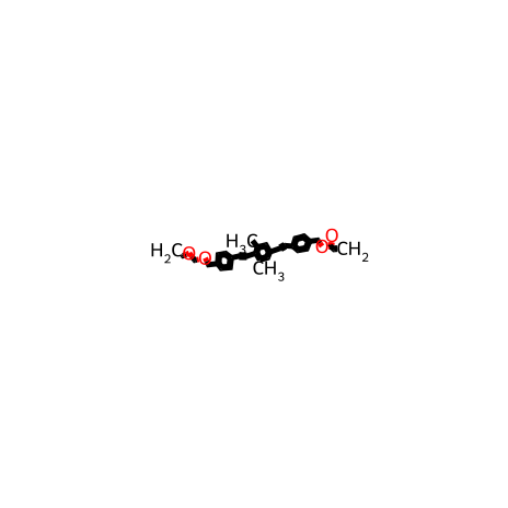 C=COCOCc1ccc(C#Cc2c(C)cc(C#Cc3ccc(COC(=O)C=C)cc3)cc2C)cc1